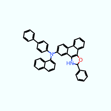 c1ccc(-c2ccc(N(c3ccc4c(c3)c3c(c5ccccc54)OC(c4ccccc4)N3)c3cccc4ccccc34)cc2)cc1